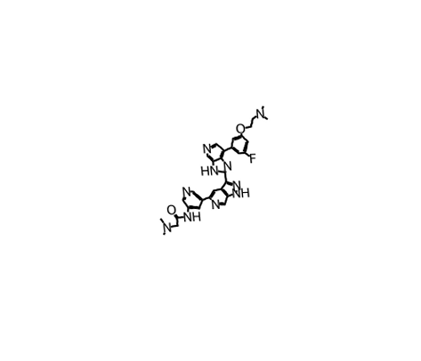 CN(C)CCOc1cc(F)cc(-c2cncc3[nH]c(-c4n[nH]c5cnc(-c6cncc(NC(=O)CN(C)C)c6)cc45)nc23)c1